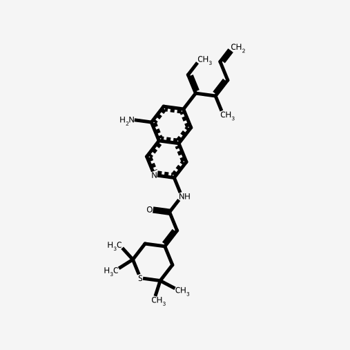 C=C/C=C(C)\C(=C/C)c1cc(N)c2cnc(NC(=O)C=C3CC(C)(C)SC(C)(C)C3)cc2c1